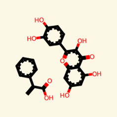 C=C(C(=O)O)c1ccccc1.O=c1c(O)c(-c2ccc(O)c(O)c2)oc2cc(O)cc(O)c12